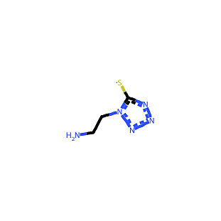 NCCn1nnnc1[S]